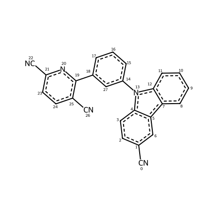 N#Cc1ccc2c(c1)c1ccccc1n2-c1cccc(-c2nc(C#N)ccc2C#N)c1